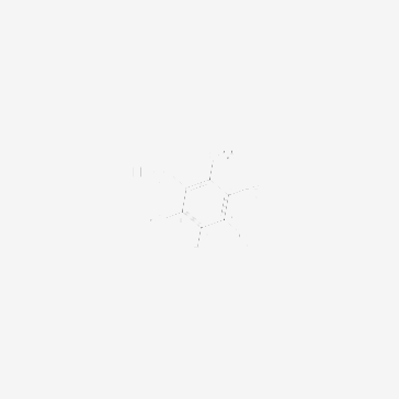 COc1c(Br)c(C)c(F)c(C)c1C(=O)O